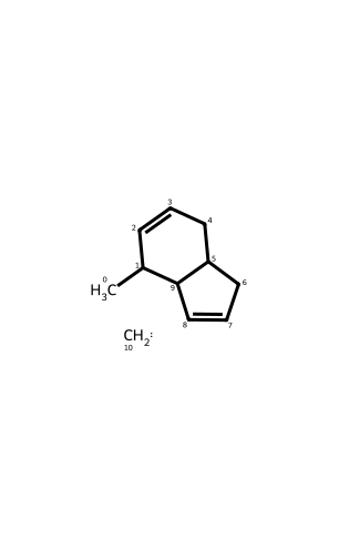 CC1C=CCC2CC=CC12.[CH2]